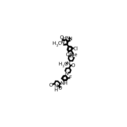 COc1cc(-c2cn(C)c(=O)c3[nH]ncc23)cc(Cl)c1CN1CCC(N(C)C(=O)C2CCN(c3ccc(NC4CCC(=O)NC4=O)cc3F)CC2)CC1